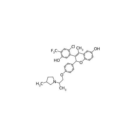 CC1=C(c2cc(O)c(C(F)(F)F)cc2Cl)C(c2ccc(OCC(C)N3CCC(C)C3)cc2)Oc2ccc(O)cc21